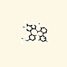 COc1cccc(OC)c1C1c2c[nH]c3c(=O)n(C)cc(c23)-c2cc(CS(C)(=O)=O)ccc2N1c1ccc(F)cc1F